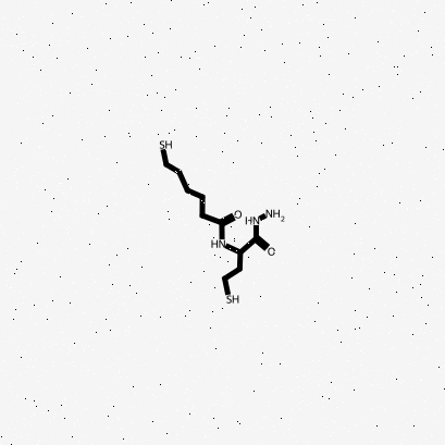 NNC(=O)C(CCS)NC(=O)CCCCCS